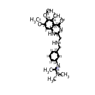 COc1cc2[nH]c(CNCc3cccc(/N=C(\C)N(C)C)c3)nc(=O)c2c(C)c1OC